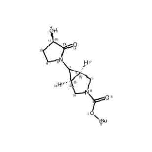 CC(C)(C)OC(=O)N1C[C@@H]2C(N3CC[C@@H](O)C3=O)[C@@H]2C1